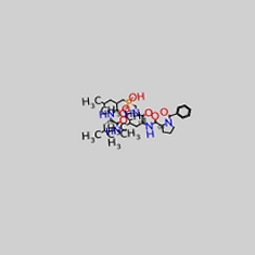 CNC(=O)[C@H](CC(C)C)NC(=O)C(CC(C)C)CP(=O)(O)CNC(=O)[C@H](CC(C)C)NC(=O)[C@@H]1CCCN1C(=O)c1ccccc1